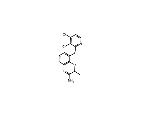 CC(Oc1ccccc1Oc1nccc(Cl)c1Cl)C(N)=O